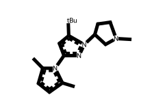 Cc1ccc(C)n1-c1cc(C(C)(C)C)n(C2CCN(C)C2)n1